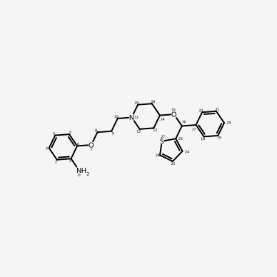 Nc1ccccc1OCCCN1CCC(OC(c2ccccc2)c2cccs2)CC1